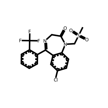 CS(=O)(=O)CN1C(=O)CN=C(c2ccccc2C(F)(F)F)c2cc(Cl)ccc21